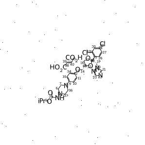 CC(C)OC(=O)NN1CCN(c2ccc(OC[C@@H]3CO[C@@](Cn4cncn4)(c4ccc(Cl)cc4Cl)O3)cc2)CC1.O=C(O)/C=C/C(=O)O